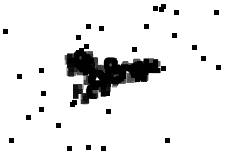 CCn1cc(Cn2ccn(-c3cc(N4CCOC(F)(F)C4)cc(C(F)(F)F)c3F)c2=O)cn1